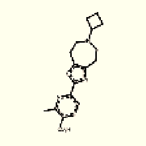 Cc1nc(-c2nc3c(s2)CCN(C2CCC2)CC3)cnc1C(=O)O